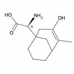 CC1=C(O)CC2([C@H](N)C(=O)O)CCCC1C2